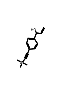 C=CC(O)c1ccc(C#C[Si](C)(C)C)cc1